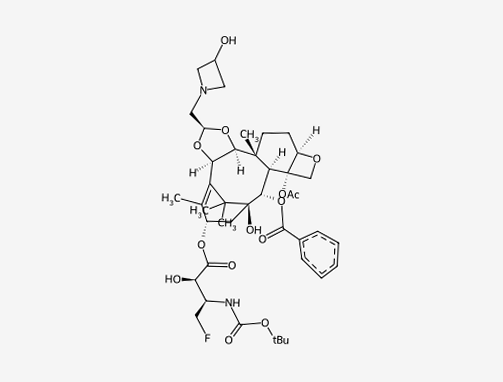 CC(=O)O[C@@]12CO[C@@H]1CC[C@@]1(C)[C@@H]3O[C@H](CN4CC(O)C4)O[C@@H]3C3=C(C)[C@@H](OC(=O)[C@H](O)[C@H](CF)NC(=O)OC(C)(C)C)C[C@@](O)([C@@H](OC(=O)c4ccccc4)[C@@H]12)C3(C)C